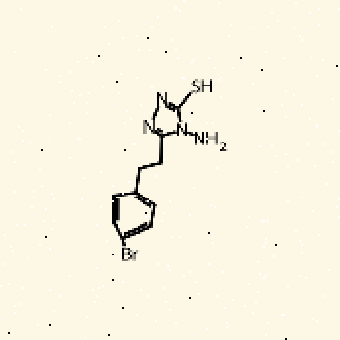 Nn1c(S)nnc1CCc1ccc(Br)cc1